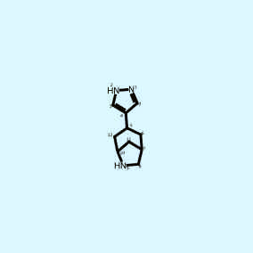 c1n[nH]cc1C1CC2CNC(C2)C1